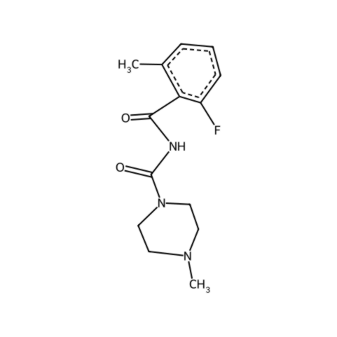 Cc1cccc(F)c1C(=O)NC(=O)N1CCN(C)CC1